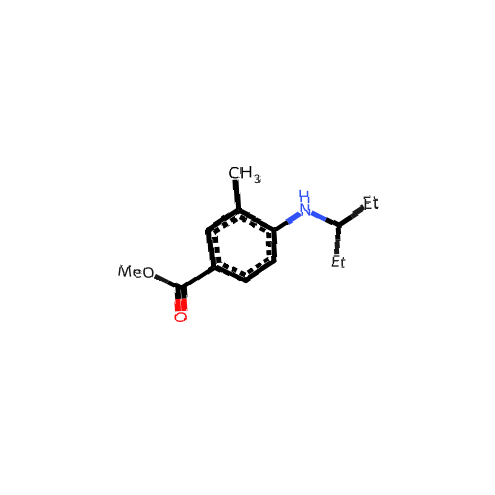 CCC(CC)Nc1ccc(C(=O)OC)cc1C